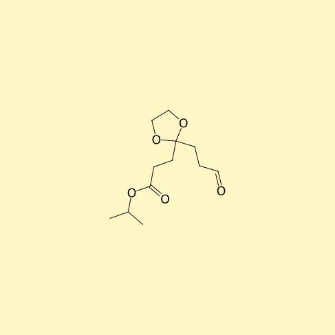 CC(C)OC(=O)CCC1(CCC=O)OCCO1